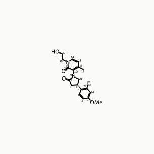 COc1ccc([C@H]2CC(=O)N(c3c(C)ccn(CCO)c3=O)C2)c(F)c1